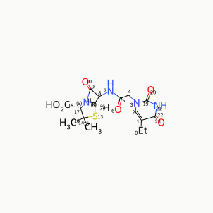 CCc1cn(CC(=O)NC2C(=O)N3[C@@H]2SC(C)(C)[C@@H]3C(=O)O)c(=O)[nH]c1=O